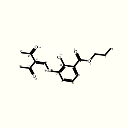 CCCOC(=O)c1cccc(NC=C(C(C)=O)C(C)=O)c1Cl